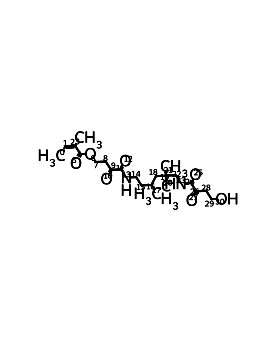 CC=C(C)C(=O)OCCC(=O)C(=O)NCCC(C)CC(C)(C)CNC(=O)C(=O)CCO